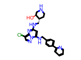 O[C@H]1CNCC[C@@H]1CNc1cc(NCc2ccc(-c3ccccn3)cc2)n2ncc(Cl)c2n1